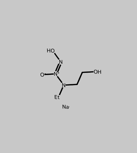 CCN(CCO)[N+]([O-])=NO.[Na]